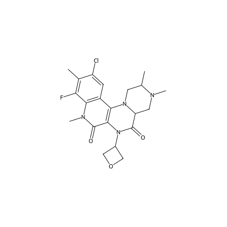 Cc1c(Cl)cc2c3c(c(=O)n(C)c2c1F)N(C1COC1)C(=O)C1CN(C)C(C)CN31